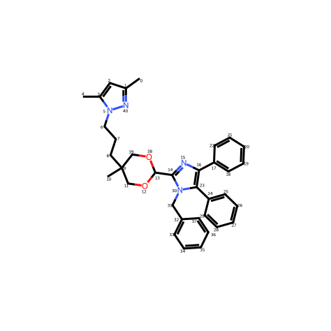 Cc1cc(C)n(CCCC2(C)COC(c3nc(-c4ccccc4)c(-c4ccccc4)n3Cc3ccccc3)OC2)n1